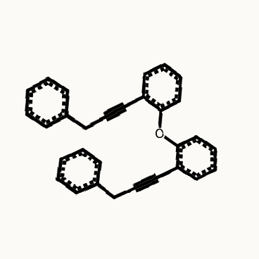 C(#Cc1ccccc1Oc1ccccc1C#CCc1ccccc1)Cc1ccccc1